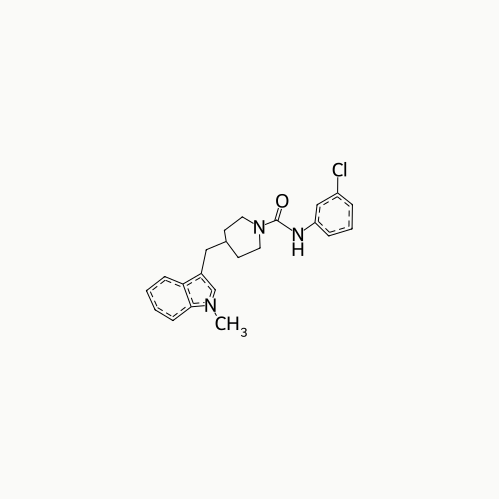 Cn1cc(CC2CCN(C(=O)Nc3cccc(Cl)c3)CC2)c2ccccc21